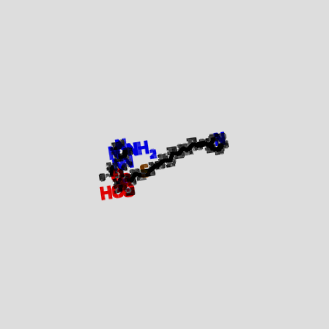 C[C@H](Cn1cnc2c(N)ncnc21)OCP(=O)(O)OCCCSCCCCCCCCCCC#Cc1cccnc1